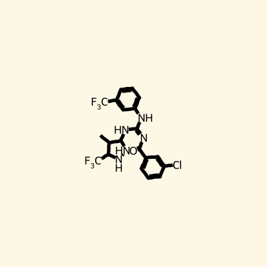 CC1C(N/C(=N\C(=O)c2cccc(Cl)c2)Nc2cccc(C(F)(F)F)c2)NNC1C(F)(F)F